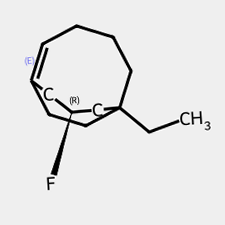 CCC12CCC/C=C(\CC1)C[C@H](F)C2